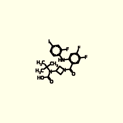 CC(C)(C)N(C(=O)O)C1CN(C(=O)c2cc(F)c(F)cc2Nc2ccc(I)cc2F)C1